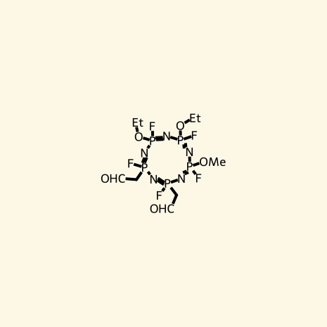 CCOP1(F)=NP(F)(OC)=NP(F)(CC=O)=NP(F)(CC=O)=NP(F)(OCC)=N1